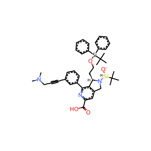 CN(C)CC#Cc1cccc(-c2nc(C(=O)O)cc3c2[C@@H](CCO[Si](c2ccccc2)(c2ccccc2)C(C)(C)C)N([S@@+]([O-])C(C)(C)C)C3)c1